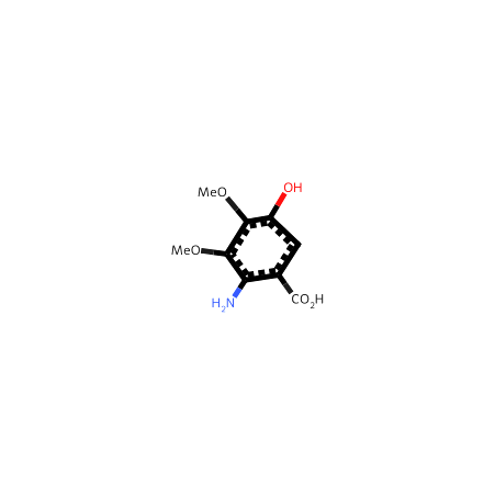 COc1c(O)cc(C(=O)O)c(N)c1OC